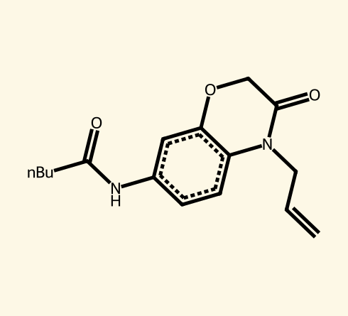 C=CCN1C(=O)COc2cc(NC(=O)CCCC)ccc21